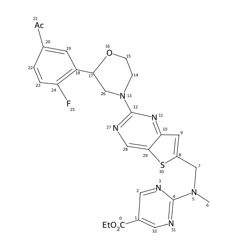 CCOC(=O)c1cnc(N(C)Cc2cc3nc(N4CCOC(c5cc(C(C)=O)ccc5F)C4)ncc3s2)nc1